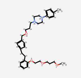 COCCCOCCOc1ccccc1CCc1ccc(COCCCN2CCN(c3ccc(C)cc3)CC2)cc1